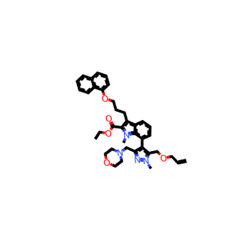 C=CCOCc1c(-c2cccc3c(CCCOc4cccc5ccccc45)c(C(=O)OCC)n(C)c23)c(CN2CCOCC2)nn1C